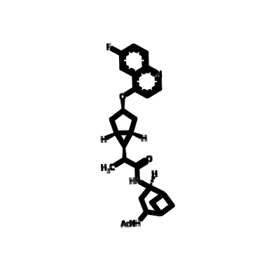 CC(=O)NC1C[C@@H](NC(=O)C(C)[C@H]2[C@@H]3C[C@@H](Oc4ccnc5ccc(F)cc45)C[C@@H]32)C2CC1C2